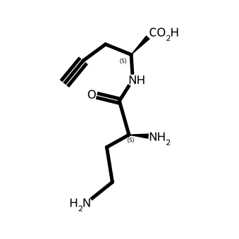 C#CC[C@H](NC(=O)[C@@H](N)CCN)C(=O)O